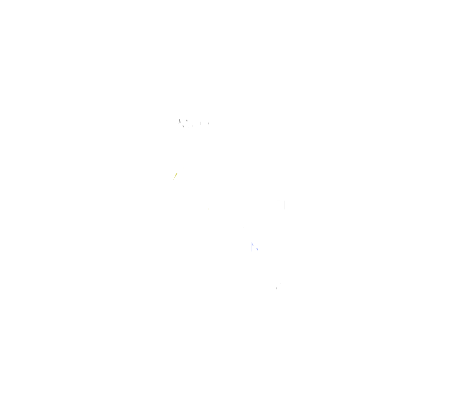 COc1ccccc1S[C@@H]1CCCC[C@H]1SCC(=O)Nc1c(C)cccc1C